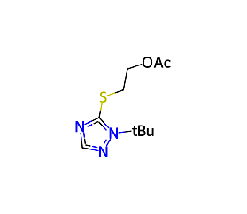 CC(=O)OCCSc1ncnn1C(C)(C)C